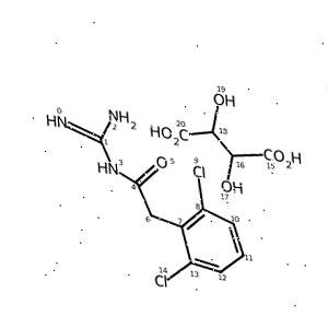 N=C(N)NC(=O)Cc1c(Cl)cccc1Cl.O=C(O)C(O)C(O)C(=O)O